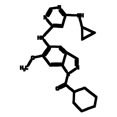 COc1cc2c(cnn2C(=O)C2CCCCC2)cc1Nc1cc(NC2CC2)ncn1